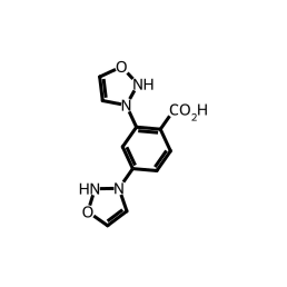 O=C(O)c1ccc(N2C=CON2)cc1N1C=CON1